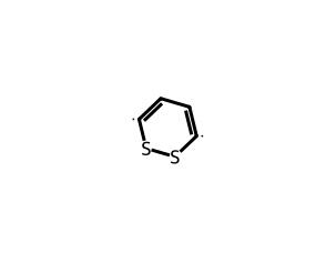 [C]1=CC=[C]SS1